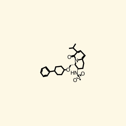 CC(C)c1ccc2n(c1=O)[C@@H](COC1CCC(c3ccccc3)CC1)[C@@H](NS(C)(=O)=O)CC2